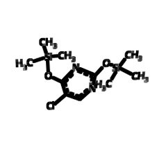 C[Si](C)(C)Oc1ncc(Cl)c(O[Si](C)(C)C)n1